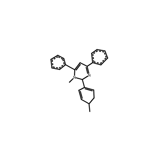 CC1C=CC(C2N=C(c3ccccc3)C=C(c3ccccc3)N2C)=CC1